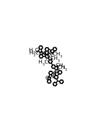 Cc1cc(-c2ccc3c(c2)C(C)(C)c2c-3n3c4c(cccc24)-c2cc(C(c4ccccc4)c4ccccc4)cc4c2B3c2cccc3c5oc6ccccc6c5n-4c23)cc(C)c1-c1cc2c3c(c1)-n1c4c(c5cccc(c51)B3n1c3c(c5cccc-2c51)C(C)(C)c1ccccc1-3)-c1ccccc1C4(C)C